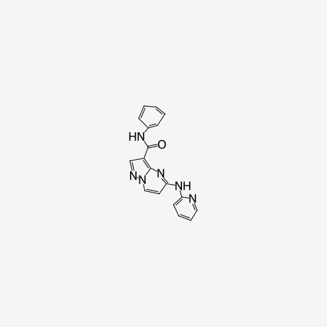 O=C(Nc1ccccc1)c1cnn2ccc(Nc3ccccn3)nc12